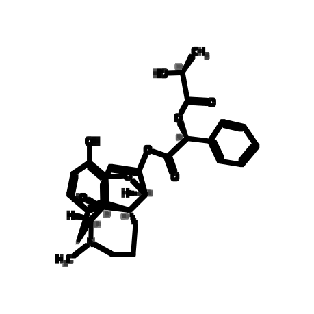 C[C@H](O)C(=O)O[C@H](C(=O)OC1=CC[C@@]2(O)[C@H]3Cc4ccc(O)c5c4[C@@]2(CCCN3C)[C@H]1O5)c1ccccc1